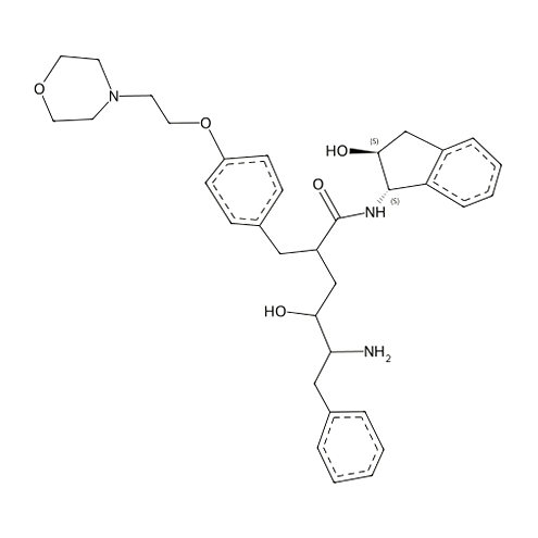 NC(Cc1ccccc1)C(O)CC(Cc1ccc(OCCN2CCOCC2)cc1)C(=O)N[C@H]1c2ccccc2C[C@@H]1O